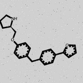 c1coc(-c2ccc(Cc3ccc(OC[C@H]4CCCN4)cc3)cc2)c1